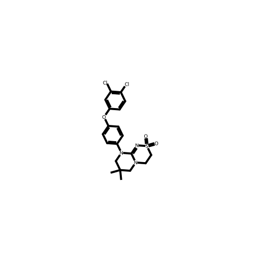 CC1(C)CN2CCS(=O)(=O)N=C2N(c2ccc(Oc3ccc(Cl)c(Cl)c3)cc2)C1